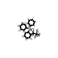 O=C(O[Si](c1ccccc1)(c1ccccc1)c1ccccc1)C(F)(F)F